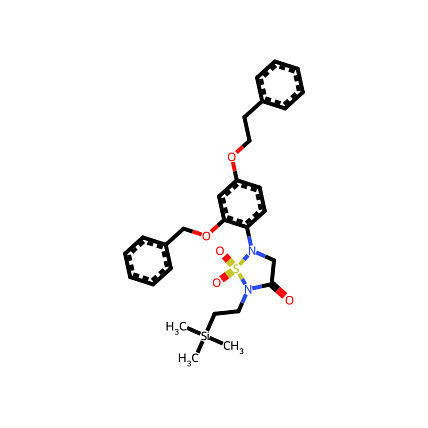 C[Si](C)(C)CCN1C(=O)CN(c2ccc(OCCc3ccccc3)cc2OCc2ccccc2)S1(=O)=O